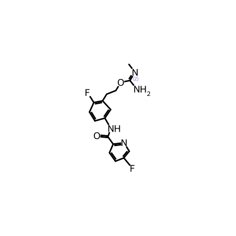 C/N=C(/N)OCCc1cc(NC(=O)c2ccc(F)cn2)ccc1F